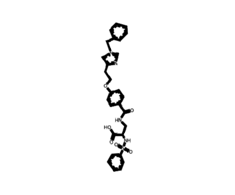 O=C(NCC(NS(=O)(=O)c1ccccc1)C(=O)O)c1ccc(OCCc2cn(Cc3ccccc3)cn2)cc1